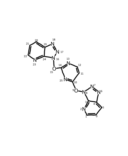 c1cnc2c(c1)nnn2Oc1ccnc(On2nnc3cccnc32)n1